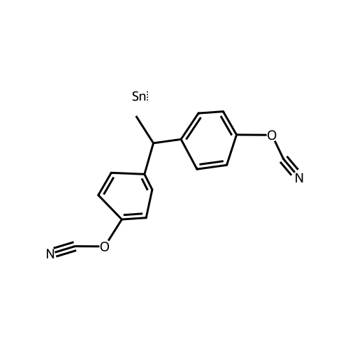 CC(c1ccc(OC#N)cc1)c1ccc(OC#N)cc1.[Sn]